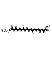 C=C(OCC)/C(C)=C/C(C)=C/C=C/C(C)=C/C=C/C=C(C)/C=C/C=C(C)/C=C(\C)C(=O)OCC